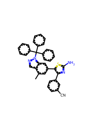 Cc1cc(-c2sc(N)nc2-c2cccc(C#N)c2)cc2c1cnn2C(c1ccccc1)(c1ccccc1)c1ccccc1